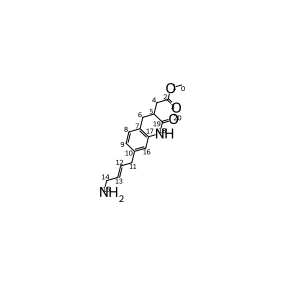 COC(=O)CC1Cc2ccc(CC=CCN)cc2NC1=O